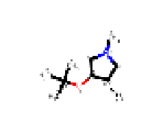 C[C@H]1CN(C)C[C@@H]1OC(C)(C)C